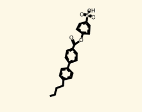 CCCCc1ccc(-c2ccc(C(=O)Oc3ccc(S(=O)(=O)O)cc3)cc2)cc1